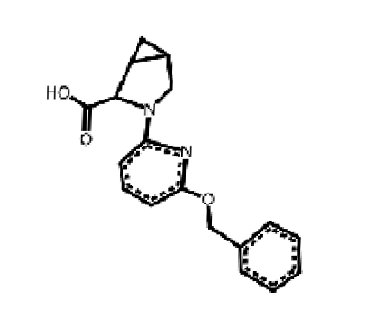 O=C(O)C1C2CC2CN1c1cccc(OCc2ccccc2)n1